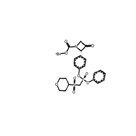 CC(C)(C)OC(=O)N1CC(=O)C1.O=P(CS(=O)(=O)C1CCOCC1)(Oc1ccccc1)Oc1ccccc1